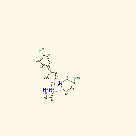 Fc1ccc(C2CC(N3CCCC(F)C3)C(n3cccn3)C2)cc1